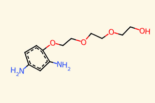 Nc1ccc(OCCOCCOCCO)c(N)c1